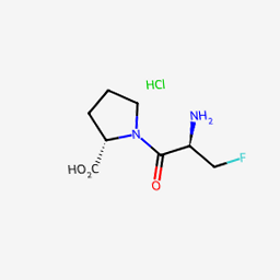 Cl.N[C@@H](CF)C(=O)N1CCC[C@H]1C(=O)O